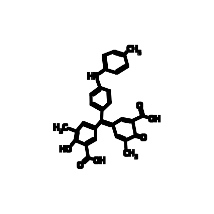 CC1=C/C(=C(/c2ccc(Nc3ccc(C)cc3)cc2)c2cc(C)c(O)c(C(=O)O)c2)C=C(C(=O)O)C1=O